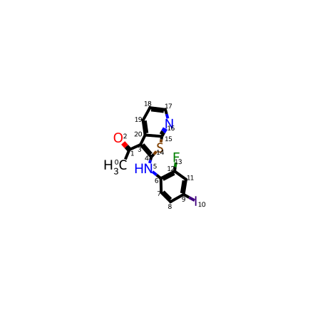 CC(=O)c1c(Nc2ccc(I)cc2F)sc2ncccc12